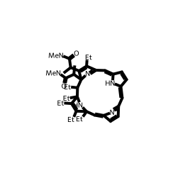 CCC1=C(C(C)C(=O)NC)C2(C(C)C(=O)NC)N=C1/C=c1/cc/c([nH]1)=C/C1=NC(=C\C3(CC)NC(CC)(C(CC)=C3CC)C2CC)/C=C1